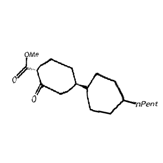 CCCCCC1CCC([C@@H]2CC[C@@H](C(=O)OC)C(=O)C2)CC1